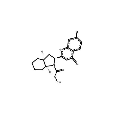 CC(C)(C)OC(=O)N1[C@H](c2cc(=O)c3ccc(Br)cc3[nH]2)C[C@@H]2CCCC[C@@H]21